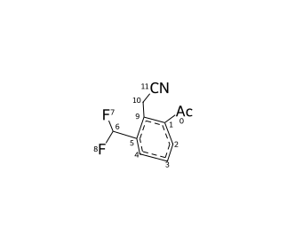 CC(=O)c1cccc(C(F)F)c1CC#N